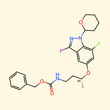 C[C@H](CCNC(=O)OCc1ccccc1)Oc1cc(F)c2c(c1)c(I)nn2C1CCCCO1